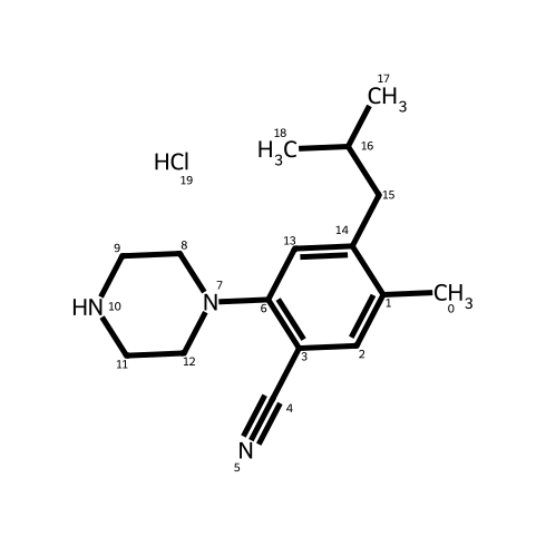 Cc1cc(C#N)c(N2CCNCC2)cc1CC(C)C.Cl